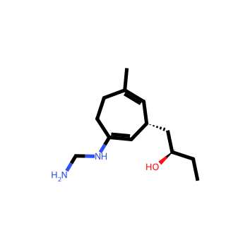 CC[C@@H](O)C[C@H]1C=C(C)CCC(NCN)=C1